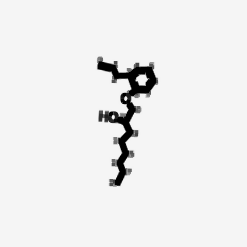 C=CCc1ccccc1OCC(O)[CH]CCCCC